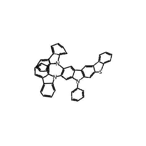 c1ccc(-n2c3cc(-n4c5ccccc5c5ccccc54)c(-n4c5ccccc5c5ccccc54)cc3c3cc4c(cc32)sc2ccccc24)cc1